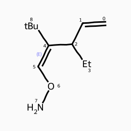 C=CC(CC)/C(=C\ON)C(C)(C)C